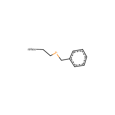 CCCCCCCC[P]Cc1ccccc1